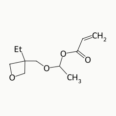 C=CC(=O)OC(C)OCC1(CC)COC1